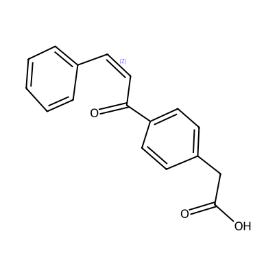 O=C(O)Cc1ccc(C(=O)/C=C\c2ccccc2)cc1